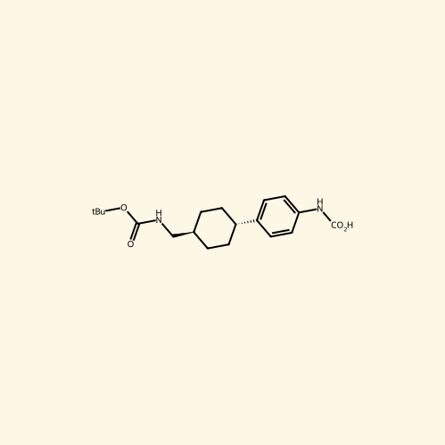 CC(C)(C)OC(=O)NC[C@H]1CC[C@H](c2ccc(NC(=O)O)cc2)CC1